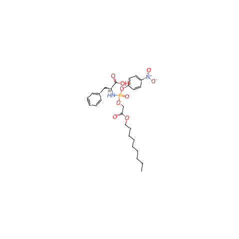 CCCCCCCCCOC(=O)COP(=O)(N[C@@H](Cc1ccccc1)C(=O)O)Oc1ccc([N+](=O)[O-])cc1